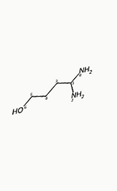 NC(N)CCCO